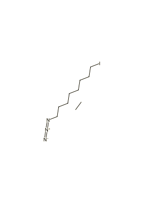 CC.[N-]=[N+]=NCCCCCCCCI